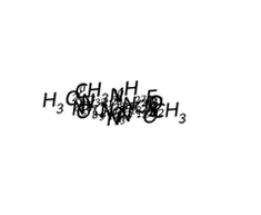 CC(C)c1noc(C2CCN(c3ncnc(Nc4ccc(S(C)(=O)=O)c(F)c4)c3C#N)CC2)n1